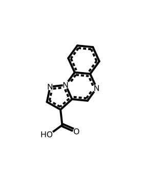 O=C(O)c1cnn2c1cnc1ccccc12